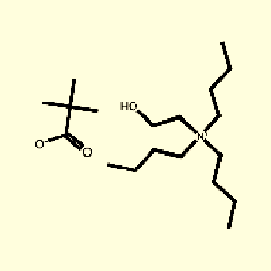 CC(C)(C)C(=O)[O-].CCCC[N+](CCO)(CCCC)CCCC